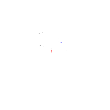 CC[C@H]1OC[C@@H](N2C(=O)CCC2=O)[C@@H](OCc2ccccc2)[C@H]1C